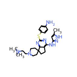 Cc1cc(Nc2nc(Sc3ccc(N)cc3)nc3c2CCC32CCN(CCN(C)C)CC2)n[nH]1